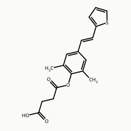 Cc1cc(C=Cc2cccs2)cc(C)c1OC(=O)CCC(=O)O